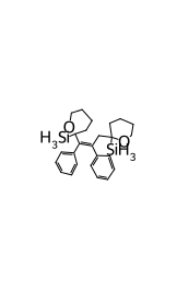 [SiH3]C1(CC(=C(c2ccccc2)C2([SiH3])CCCCO2)c2ccccc2)CCCCO1